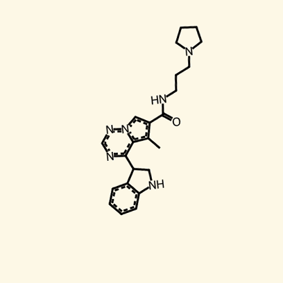 Cc1c(C(=O)NCCCN2CCCC2)cn2ncnc(C3CNc4ccccc43)c12